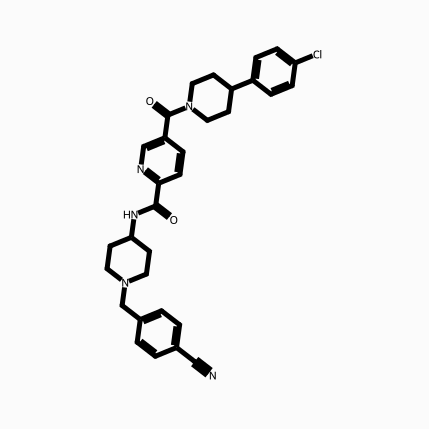 N#Cc1ccc(CN2CCC(NC(=O)c3ccc(C(=O)N4CCC(c5ccc(Cl)cc5)CC4)cn3)CC2)cc1